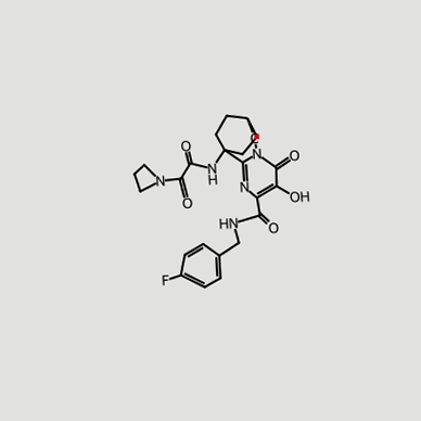 O=C(NC12CCC(CC1)Cn1c2nc(C(=O)NCc2ccc(F)cc2)c(O)c1=O)C(=O)N1CCC1